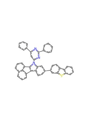 c1ccc(-c2cc(-n3c4c(c5ccc(-c6ccc7c(c6)sc6ccccc67)cc53)-c3cccc5cccc-4c35)nc(-c3ccccc3)n2)cc1